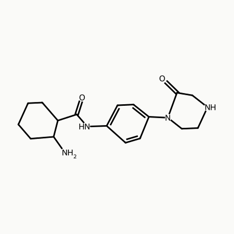 NC1CCCCC1C(=O)Nc1ccc(N2CCNCC2=O)cc1